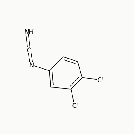 N=C=Nc1ccc(Cl)c(Cl)c1